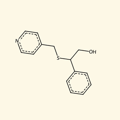 OCC(SCc1ccncc1)c1ccccc1